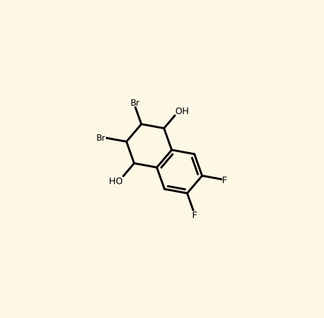 OC1c2cc(F)c(F)cc2C(O)C(Br)C1Br